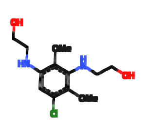 COc1c(Cl)cc(NCCO)c(OC)c1NCCO